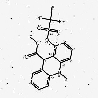 COC(=O)C1c2ccccc2N(C)c2cccc(OS(=O)(=O)C(F)(F)F)c21